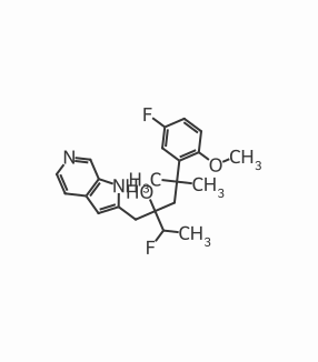 COc1ccc(F)cc1C(C)(C)CC(O)(Cc1cc2ccncc2[nH]1)C(C)F